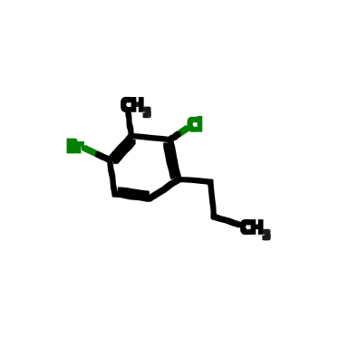 CCCc1ccc(Br)c(C)c1Cl